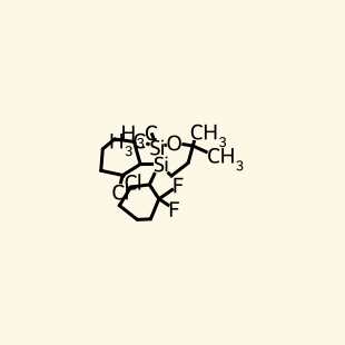 CC1(C)CC[Si](C2CCCCC2(F)F)(C2CCCCC2(Cl)Cl)[Si](C)(C)O1